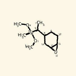 CO[Si](C)(OC)C(C)C1CCC2OC2C1